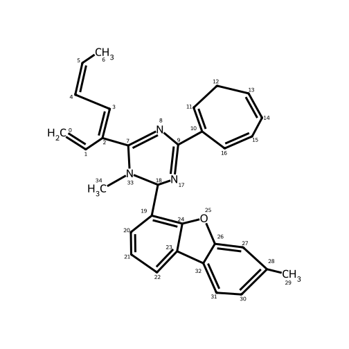 C=C/C(=C\C=C/C)C1=NC(C2=CCC=CC=C2)=NC(c2cccc3c2oc2cc(C)ccc23)N1C